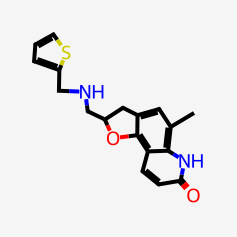 Cc1cc2c(c3ccc(=O)[nH]c13)OC(CNCc1cccs1)C2